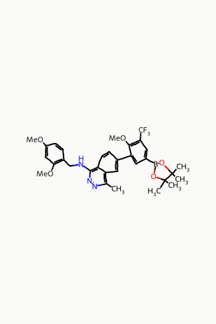 COc1ccc(CNc2nnc(C)c3cc(-c4cc(B5OC(C)(C)C(C)(C)O5)cc(C(F)(F)F)c4OC)ccc23)c(OC)c1